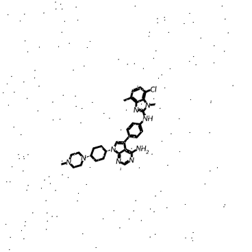 Cc1ccc(Cl)c2c1nc(Nc1ccc(-c3cn([C@H]4CC[C@@H](N5CCN(C)CC5)CC4)c4ncnc(N)c34)cc1)n2C